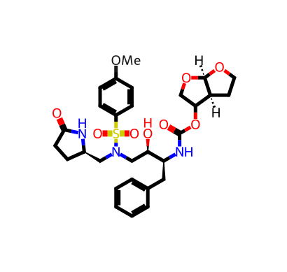 COc1ccc(S(=O)(=O)N(C[C@H]2CCC(=O)N2)C[C@@H](O)[C@H](Cc2ccccc2)NC(=O)OC2CO[C@H]3OCC[C@@H]23)cc1